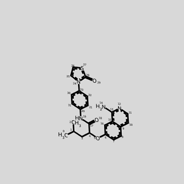 CC(C)CC(Oc1ccc2ccnc(N)c2c1)C(=O)Nc1ccc(-n2ccsc2=O)cc1